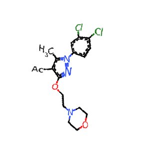 CC(=O)c1c(OCCN2CCOCC2)nn(-c2ccc(Cl)c(Cl)c2)c1C